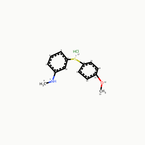 CNc1cccc(Sc2ccc(OC)cc2)c1.Cl